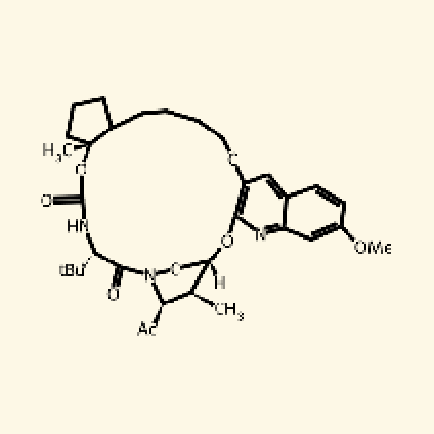 COc1ccc2cc3c(nc2c1)O[C@H]1CN(C(=O)[C@H](C(C)(C)C)NC(=O)O[C@]2(C)CCCC2CCCCC3)[C@H](C(C)=O)[C@@H]1C